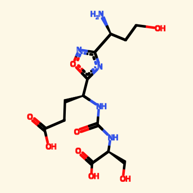 N[C@@H](CCO)c1noc([C@H](CCC(=O)O)NC(=O)N[C@@H](CO)C(=O)O)n1